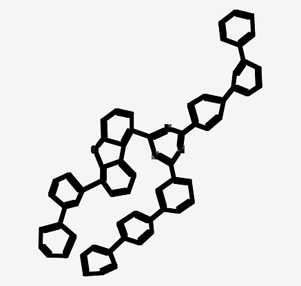 c1ccc(-c2ccc(-c3cccc(-c4nc(-c5ccc(-c6cccc(-c7ccccc7)c6)cc5)nc(-c5cccc6oc7c(-c8cccc(-c9ccccc9)c8)cccc7c56)n4)c3)cc2)cc1